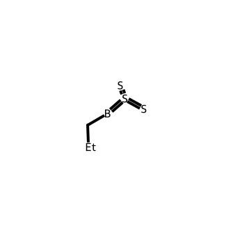 CCCB=S(=S)=S